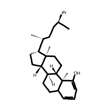 CC(C)[C@@H](C)CC[C@@H](C)[C@H]1CC[C@H]2[C@@H]3CCC4C=CC=C(O)[C@]4(C)[C@H]3CC[C@]12C